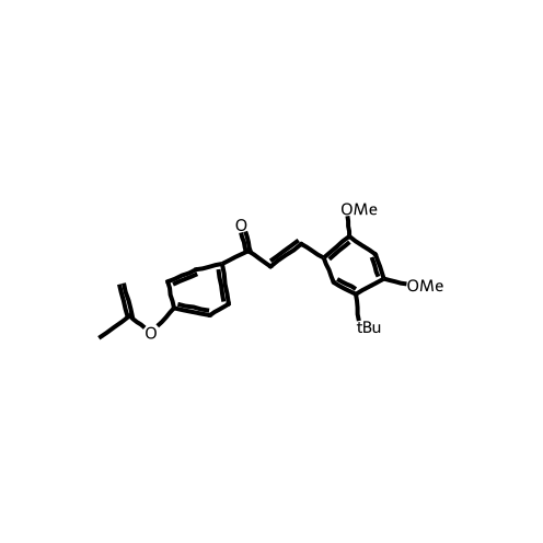 C=C(C)Oc1ccc(C(=O)/C=C/c2cc(C(C)(C)C)c(OC)cc2OC)cc1